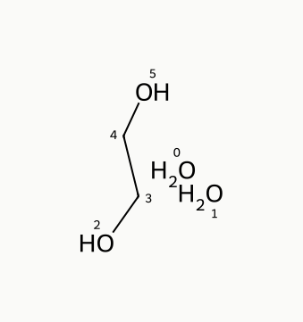 O.O.OCCO